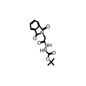 CC(C)(C)OC(=O)NNC(=O)CN1C(=O)c2ccccc2C1=O